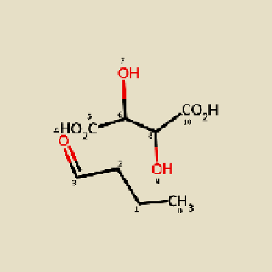 CCCC=O.O=C(O)C(O)C(O)C(=O)O